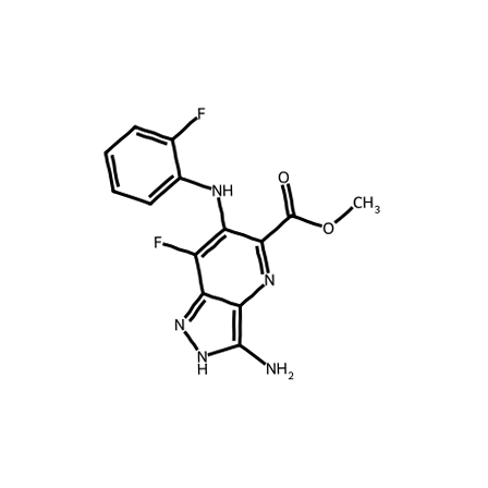 COC(=O)c1nc2c(N)[nH]nc2c(F)c1Nc1ccccc1F